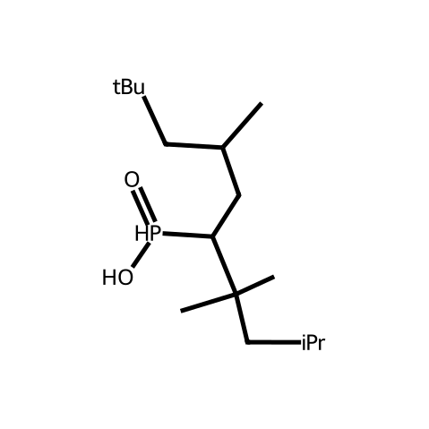 CC(C)CC(C)(C)C(CC(C)CC(C)(C)C)[PH](=O)O